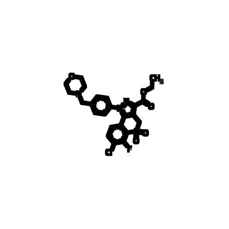 CCOC(=O)c1nn(-c2ccc(CN3CCOCC3)cc2)c2c1CS(=O)(=O)c1c-2ccc(Cl)c1F